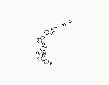 COCCOCCOCCN(Cc1ccc(-c2cc3nccc(Oc4ccc(NC(=O)C5(C(=O)Nc6ccc(F)cc6)CC5)cc4F)c3s2)cc1)C(C)=O